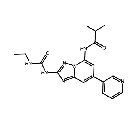 CCNC(=O)Nc1nc2cc(-c3cccnc3)cc(NC(=O)C(C)C)n2n1